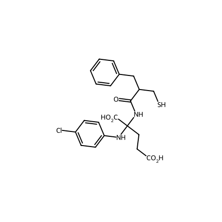 O=C(O)CCC(NC(=O)C(CS)Cc1ccccc1)(Nc1ccc(Cl)cc1)C(=O)O